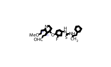 C=C(Cc1ccccc1)NC(=S)Nc1ccc(Oc2ccnc(=C/COC)/c2=C\CC=O)c(F)c1